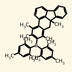 Cc1cc(C)c(B(c2c(C)cc(C)cc2C)c2c(C)c(C)c3c(c2C)CC2(C)c4ccccc4-c4cccc-3c42)c(C)c1